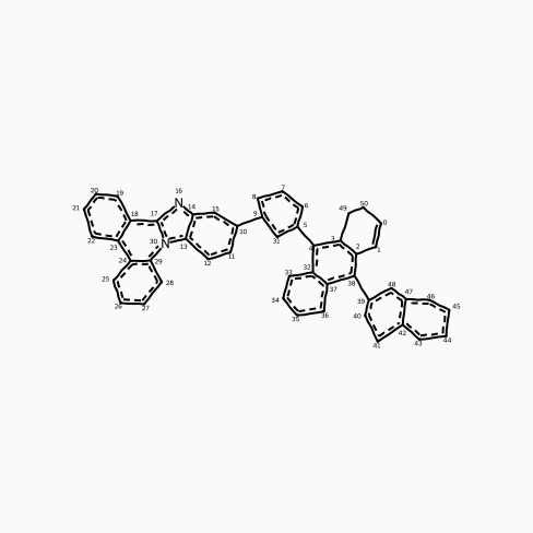 C1=Cc2c(c(-c3cccc(-c4ccc5c(c4)nc4c6ccccc6c6ccccc6n54)c3)c3ccccc3c2-c2ccc3ccccc3c2)CC1